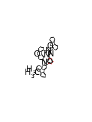 CC1(C)c2ccccc2-c2cc3c4ccccc4n(-c4ccc5oc6cccc(-c7nc(-c8ccccc8)nc(-c8cccc9c8oc8ccccc89)n7)c6c5c4)c3cc21